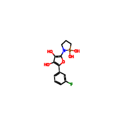 Oc1c(-c2cccc(F)c2)oc(N2CCCS2(O)O)c1O